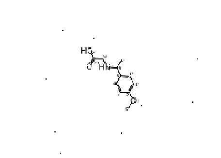 COc1ccc(C(C)NCC(=O)O)cc1